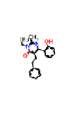 Cc1nc(-c2ccccc2O)c(CCc2ccccc2)c(=O)n1CC(C)(C)C